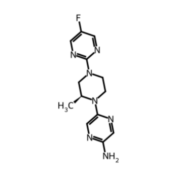 C[C@H]1CN(c2ncc(F)cn2)CCN1c1cnc(N)cn1